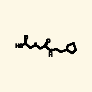 O=C(O)CSCC(=O)NCCC1CCCC1